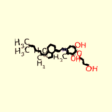 C=C1/C(=C\C=C2CCC[C@@]3(C)C2CC[C@@H]3[C@H](C)CCCC(C)C)C[C@@H](O)[C@H](OCCCCO)[C@H]1O